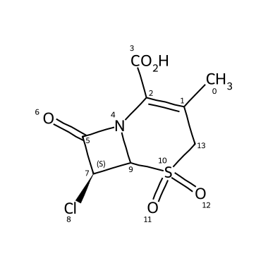 CC1=C(C(=O)O)N2C(=O)[C@H](Cl)C2S(=O)(=O)C1